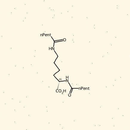 CCCCCC(=O)NCCCC[C@H](NC(=O)CCCCC)C(=O)O